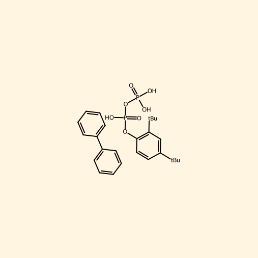 CC(C)(C)c1ccc(OP(=O)(O)OP(=O)(O)O)c(C(C)(C)C)c1.c1ccc(-c2ccccc2)cc1